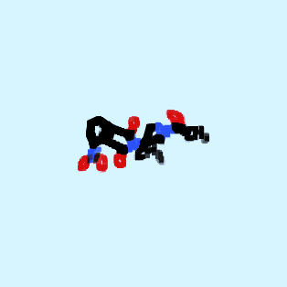 CC(=O)N1CC(C)(N2C(=O)c3cccc([N+](=O)[O-])c3C2=O)C1